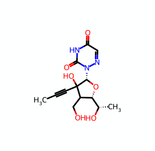 CC#CC1(O)C(CO)[C@@H]([C@H](C)O)O[C@H]1n1ncc(=O)[nH]c1=O